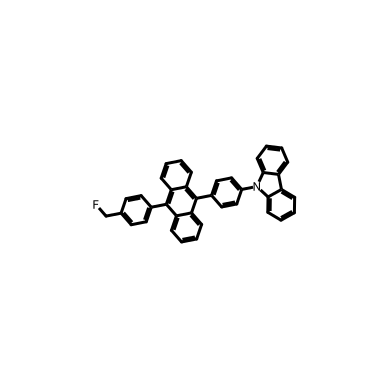 FCc1ccc(-c2c3ccccc3c(-c3ccc(-n4c5ccccc5c5ccccc54)cc3)c3ccccc23)cc1